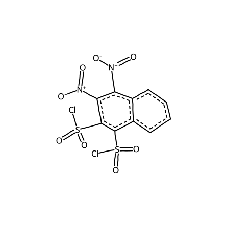 O=[N+]([O-])c1c(S(=O)(=O)Cl)c(S(=O)(=O)Cl)c2ccccc2c1[N+](=O)[O-]